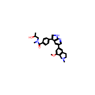 COc1cc(-c2cnc3[nH]cc(-c4ccc(C(=O)N(C)CC(C)O)cc4)c3c2)cc2c1CN(C)CC2